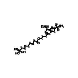 CCN[C@H]1CN(CCCOC(=O)COCCOCC[Si](O)(O)O)SC2=C1C=C(S(N)(=O)=O)C2